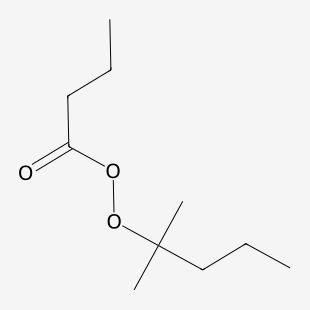 CCCC(=O)OOC(C)(C)CCC